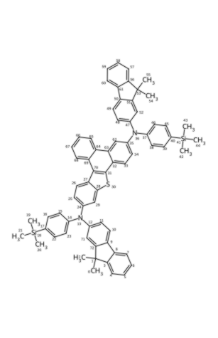 CC1(C)c2ccccc2-c2ccc(N(c3ccc([Si](C)(C)C)cc3)c3ccc4c(c3)sc3c5ccc(N(c6ccc([Si](C)(C)C)cc6)c6ccc7c(c6)C(C)(C)c6ccccc6-7)cc5c5ccccc5c43)cc21